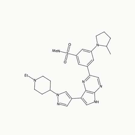 CCN1CCC(n2cc(-c3c[nH]c4ncc(-c5cc(N6CCCC6C)cc(S(=O)(=O)NC)c5)nc34)cn2)CC1